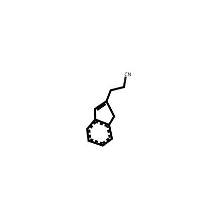 N#CCCC1=Cc2ccccc2C1